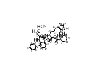 CCC(=O)Nc1c(-c2ccccc2)cccc1S(=O)(=O)NC(CCCc1nc[nH]c1C)C(=O)OC(=O)C1CCCCN1.Cl